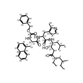 CCC(C)CN(CC)C(=O)C[C@H](O)[C@H](CC(C)C)NC(=O)C(Cc1scnc1C)NC(=O)[C@H](Cc1cccc2ccccc12)NC(=O)OCc1ccccc1